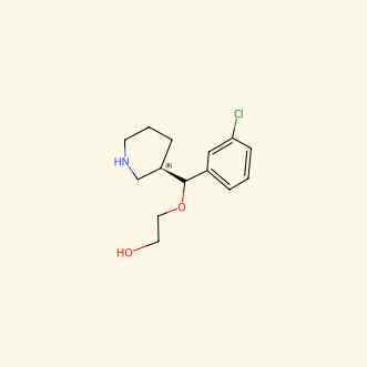 OCCOC(c1cccc(Cl)c1)[C@@H]1CCCNC1